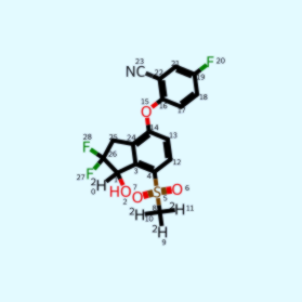 [2H]C1(O)c2c(S(=O)(=O)C([2H])([2H])[2H])ccc(Oc3ccc(F)cc3C#N)c2CC1(F)F